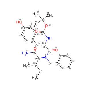 CC[C@H](C)[C@@H](C(N)=O)N(Cc1ccccc1)C(=O)[C@H](Cc1ccc(O)cc1)NC(=O)OC(C)(C)C